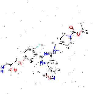 CNC[C@@H](O)COc1ccc(F)c(-c2nc(-c3c(C)noc3C)c(C)c(N3CC4(CCN(C(=O)OC(C)C)CC4)C3)n2)c1